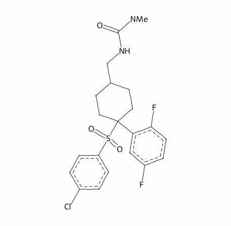 CNC(=O)NCC1CCC(c2cc(F)ccc2F)(S(=O)(=O)c2ccc(Cl)cc2)CC1